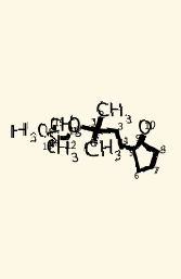 CC(C)(CCC1CCCC1=O)OC[Si](C)(C)C